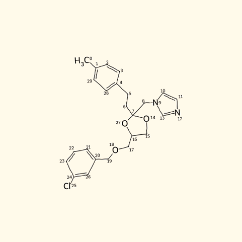 Cc1ccc(CCC2(Cn3ccnc3)OCC(COCc3cccc(Cl)c3)O2)cc1